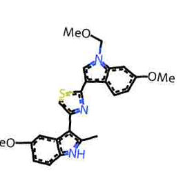 COCn1cc(-c2nc(-c3c(C)[nH]c4ccc(OC)cc34)cs2)c2ccc(OC)cc21